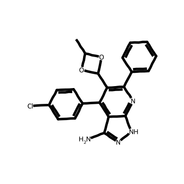 CC1OC(c2c(-c3ccccc3)nc3[nH]nc(N)c3c2-c2ccc(Cl)cc2)O1